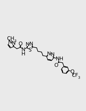 Cn1ccc(CC(=O)Nc2nnc(CCCCc3ccc(NC(=O)Cc4cccc(OC(F)(F)F)c4)nn3)s2)n1